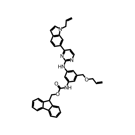 C=CCOCc1cc(NC(=O)OCC2c3ccccc3-c3ccccc32)cc(Nc2nccc(-c3ccc4ccn(CC=C)c4c3)n2)c1